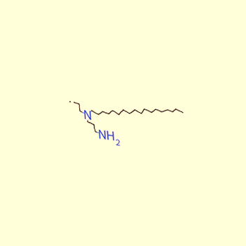 [CH2]CCN(CCCN)CCCCCCCCCCCCCCCCCC